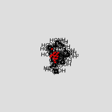 CC1C(O)[C@H](O[C@@H]2OC(CO[C@]3(C(=O)O)C[C@@H](O)[C@@H](N)C([C@H](O)C(O)CO)O3)[C@H](O)C(O)[C@@H]2O)[C@H](CO)O[C@H]1OC1C(O)[C@H](O)C(CO)O[C@@H]1OCC1O[C@@H](O[C@@H]2C(CO)O[C@@H](O[C@@H]3C(CO)O[C@@H](C)C(C)[C@H]3O)[C@@H](C)C2O)[C@H](O)C(O[C@H]2O[C@H](CO)[C@@H](O)C(O)C2O[C@@H]2OC(CO)[C@@H](O[C@@H]3OC(CO[C@]4(C(=O)O)C[C@@H](O)[C@@H](N)C([C@H](O)C(O)CO)O4)[C@H](O)C(O)[C@@H]3O)C(O)[C@@H]2C)[C@@H]1O